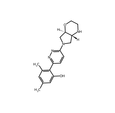 Cc1cc(C)c(-c2ccc(N3C[C@H]4NCCO[C@@H]4C3)nn2)c(O)c1